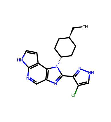 N#CC[C@H]1CC[C@H](n2c(-c3n[nH]cc3Cl)nc3cnc4[nH]ccc4c32)CC1